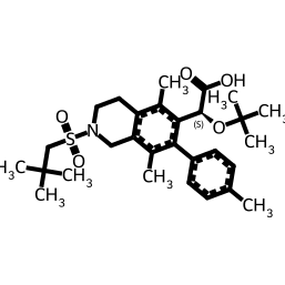 Cc1ccc(-c2c(C)c3c(c(C)c2[C@H](OC(C)(C)C)C(=O)O)CCN(S(=O)(=O)CC(C)(C)C)C3)cc1